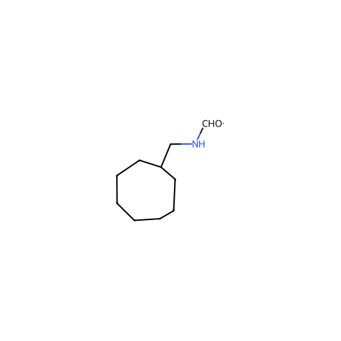 O=[C]NCC1CCCCCCC1